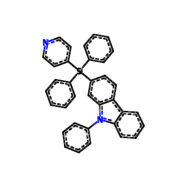 c1ccc(-n2c3ccccc3c3ccc([Si](c4ccccc4)(c4ccccc4)c4ccncc4)cc32)cc1